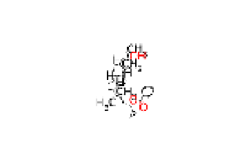 CC[C@]1(O)CC[C@@]2(C)[C@@H](CC[C@@H]3[C@@H]2CC[C@]2(C)[C@@H]([C@H](C)CC[C@H](OC(=O)c4ccccc4)C4CC4)CC[C@@H]32)C1